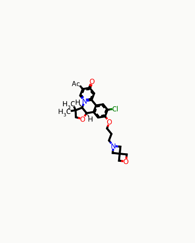 CC(=O)c1cn2c(cc1=O)-c1cc(Cl)c(OCCCN3CC4(COC4)C3)cc1[C@H]1OCC(C)(C)[C@H]12